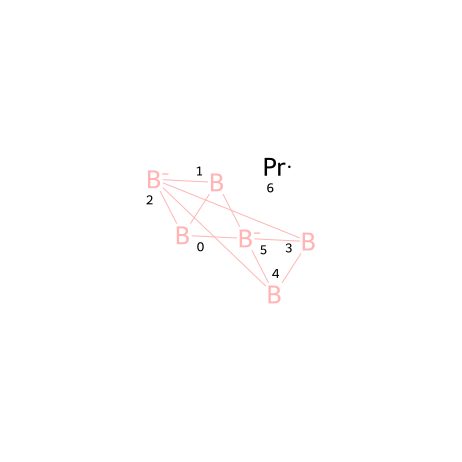 B12B3[B-]14B1B4[B-]231.[Pr]